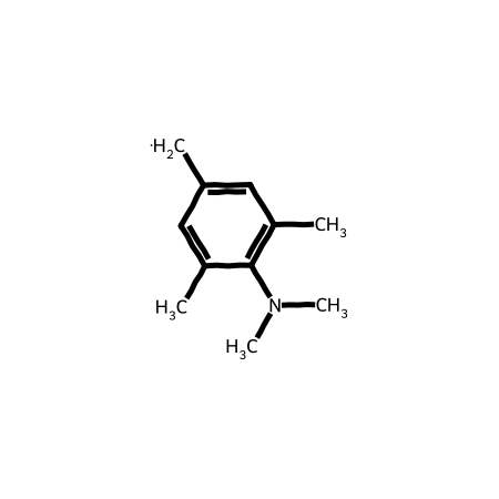 [CH2]c1cc(C)c(N(C)C)c(C)c1